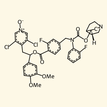 COc1ccc(C(Cc2c(Cl)c[n+]([O-])cc2Cl)OC(=O)c2ccc(CN(C(=O)O[C@H]3CN4CCC3CC4)c3ccccc3F)cc2F)cc1OC